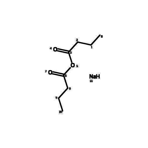 CCCC(=O)OC(=O)CCC.[NaH]